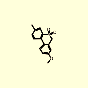 COc1ccc2c(c1)CS(=O)(=O)c1cc(C)ccc1-2